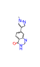 Cn1cc(-c2ccc3c(=O)[nH]cnc3c2)cn1